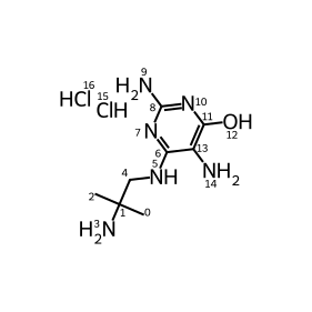 CC(C)(N)CNc1nc(N)nc(O)c1N.Cl.Cl